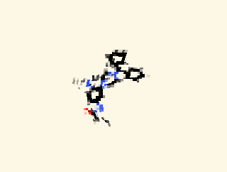 CCCC(=O)Nc1ccc(N(C)C)c(N2CCN(C(c3ccccc3)c3ccccc3)CC2)c1